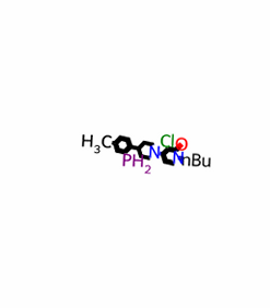 CCCCn1ccc(N2CCC(c3ccc(C)cc3P)CC2)c(Cl)c1=O